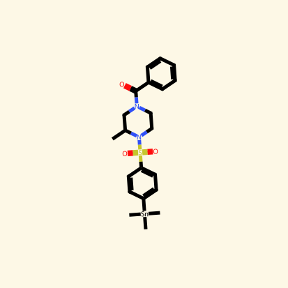 CC1CN(C(=O)c2ccccc2)CCN1S(=O)(=O)c1cc[c]([Sn]([CH3])([CH3])[CH3])cc1